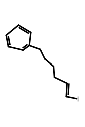 I/C=C/CCCCc1ccccc1